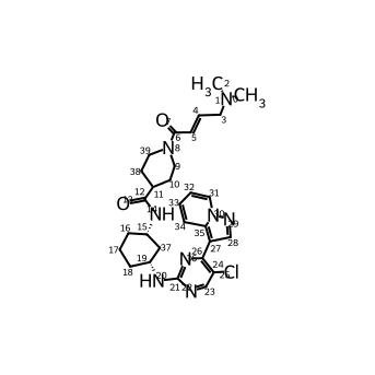 CN(C)C/C=C/C(=O)N1CCC(C(=O)N[C@H]2CCC[C@@H](Nc3ncc(Cl)c(-c4cnn5ccccc45)n3)C2)CC1